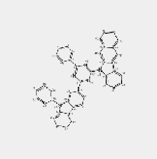 c1ccc(-c2nc(-c3ccc4c5ccccc5n(-c5ccccc5)c4c3)nc(-n3c4ccccc4c4cc5ccccc5cc43)n2)cc1